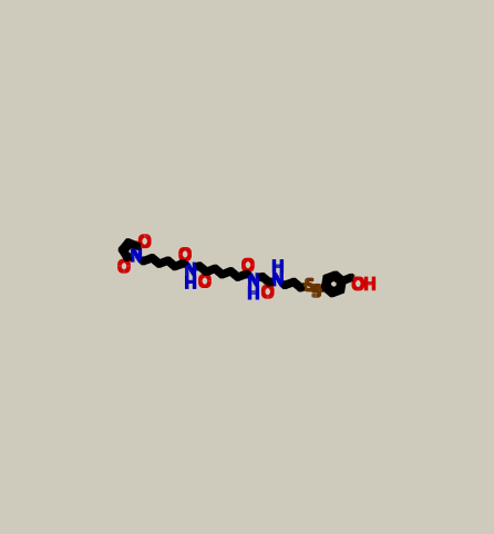 O=C(CCCCC(=O)NCC(=O)NCCCSSc1ccc(CO)cc1)CNC(=O)CCCCCN1C(=O)C=CC1=O